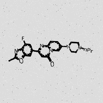 CCCN1CCN(c2ccc3nc(-c4cc(F)c5nc(C)oc5c4)cc(=O)n3c2)CC1